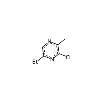 CCc1cnc(C)c(Cl)n1